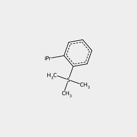 CC(C)c1ccccc1S(C)(C)C